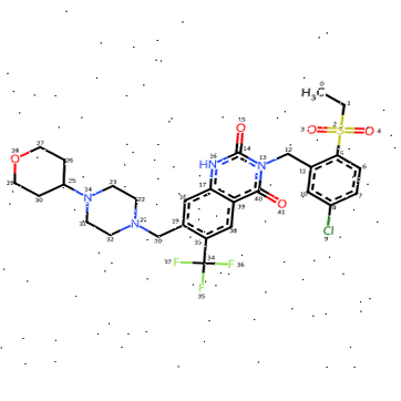 CCS(=O)(=O)c1ccc(Cl)cc1Cn1c(=O)[nH]c2cc(CN3CCN(C4CCOCC4)CC3)c(C(F)(F)F)cc2c1=O